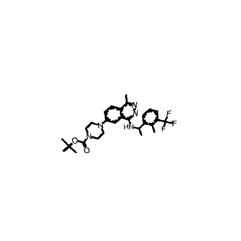 Cc1c(C(C)Nc2nnc(C)c3ccc(N4CCN(C(=O)OC(C)(C)C)CC4)cc23)cccc1C(F)(F)F